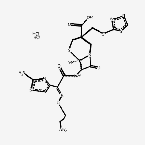 Cl.Cl.NCCON=C(C(=O)NC1C(=O)N2CC(CSc3nncs3)(C(=O)O)CS[C@H]12)c1csc(N)n1